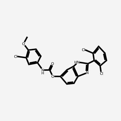 COc1ccc(NC(=O)Oc2ccc3nc(-c4c(Cl)cccc4Cl)[nH]c3c2)cc1Cl